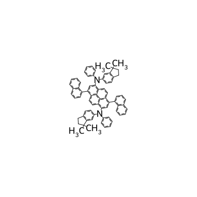 CC1(C)CCc2ccc(N(c3ccccc3)c3cc(-c4cccc5ccccc45)c4ccc5c(N(c6ccccc6)c6ccc7c(c6)C(C)(C)CC7)cc(-c6cccc7ccccc67)c6ccc3c4c65)cc21